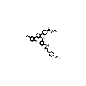 COC(=O)N1CC=C(c2nnc(-c3cc(Cl)ccc3F)cc2Nc2ccnc(NC(=O)CCN3CCN(C)CC3)c2)CC1